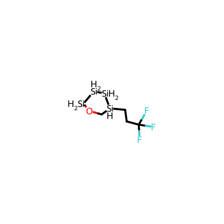 FC(F)(F)CC[SiH]1CO[SiH2][SiH2][SiH2]1